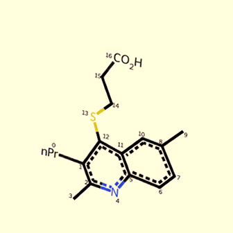 CCCc1c(C)nc2ccc(C)cc2c1SCCC(=O)O